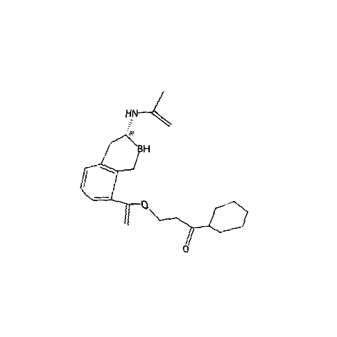 C=C(C)N[C@@H]1BCc2c(cccc2C(=C)OCCC(=O)C2CCCCC2)C1